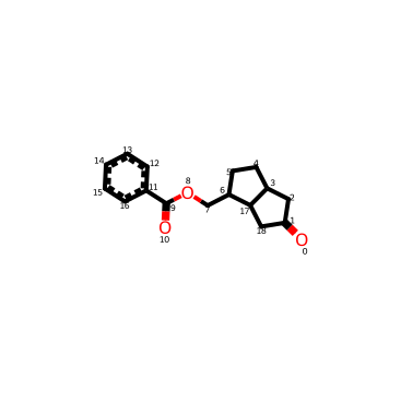 O=C1CC2CCC(COC(=O)c3ccccc3)C2C1